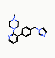 CN1CCN(c2ncccc2-c2ccc(Cn3ccnc3)cc2)CC1